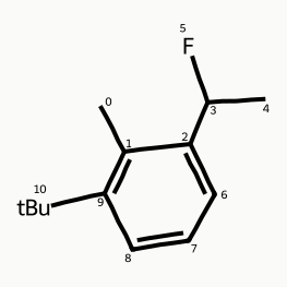 Cc1c(C(C)F)cccc1C(C)(C)C